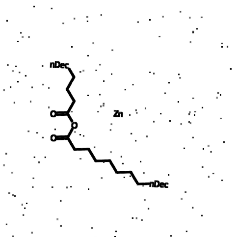 CCCCCCCCCCCCCCCCCC(=O)OC(=O)CCCCCCCCCCCCC.[Zn]